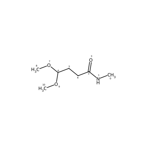 CNC(=O)CCC(OC)OC